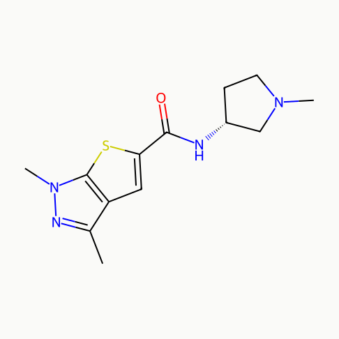 Cc1nn(C)c2sc(C(=O)N[C@@H]3CCN(C)C3)cc12